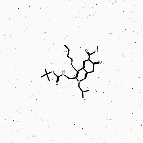 CCCCOC1=C(CNC(=O)OC(C)(C)C)N(CC(C)C)C=C2CC(=O)C(C(=O)OC)C=C21